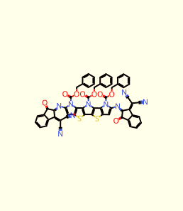 N#CC(C#N)=C1/C(=N/c2cc3sc4c5sc6cc(/N=C7/C(=O)c8ccccc8C7=C(C#N)C#N)n(C(=O)OCc7ccccc7)c6c5n(C(=O)OCc5ccccc5)c4c3n2C(=O)OCc2ccccc2)C(=O)c2ccccc21